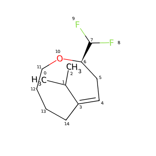 CC(C)/C1=C\C[C@H](C(F)F)OCCCC1